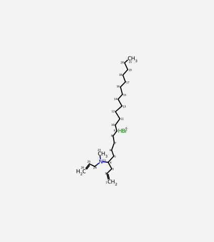 Br.C=CCC(CCCCCCCCCCCCCCCCC)N(C)CC=C